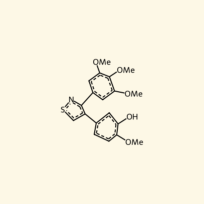 COc1ccc(-c2csnc2-c2cc(OC)c(OC)c(OC)c2)cc1O